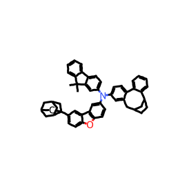 CC1(C)c2ccccc2-c2ccc(N(c3ccc4c(c3)CC3CCC(C3)c3ccccc3-4)c3ccc4oc5ccc(C67CC8CC(CC6C8)C7)cc5c4c3)cc21